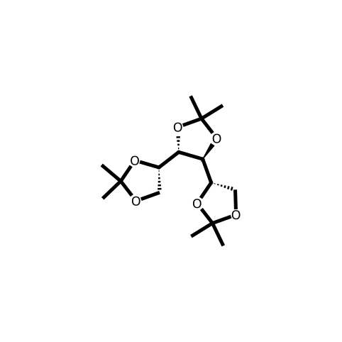 CC1(C)O[C@@H]([C@@H]2COC(C)(C)O2)[C@H]([C@@H]2COC(C)(C)O2)O1